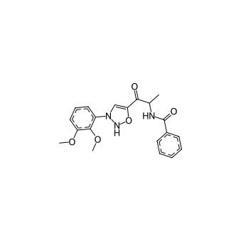 COc1cccc(N2C=C(C(=O)C(C)NC(=O)c3ccccc3)ON2)c1OC